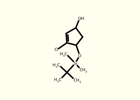 CC(C)(C)[Si](C)(C)OC1CC(O)C=C1Cl